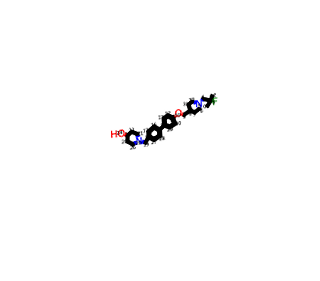 CC(C)(F)CN1CCC(COc2ccc(-c3ccc(CN4CCC(O)CC4)cc3)cc2)CC1